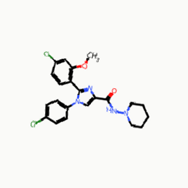 COc1cc(Cl)ccc1-c1nc(C(=O)NN2CCCCC2)cn1-c1ccc(Cl)cc1